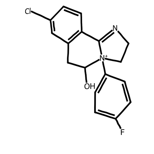 OC1Cc2cc(Cl)ccc2C2=NCC[N+]21c1ccc(F)cc1